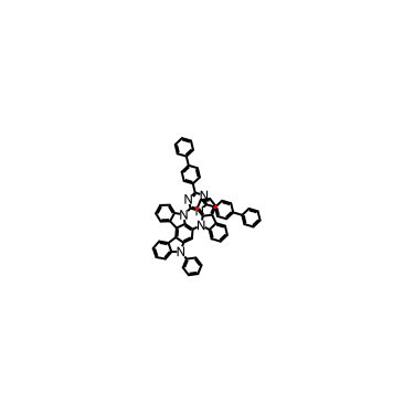 c1ccc(-c2ccc(-c3nc(-c4ccc(-c5ccccc5)cc4)nc(-n4c5ccccc5c5c6c7ccccc7n(-c7ccccc7)c6cc(-n6c7ccccc7c7ccccc76)c54)n3)cc2)cc1